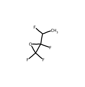 CC(F)C1(F)OC1(F)F